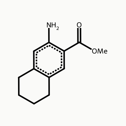 COC(=O)c1cc2c(cc1N)CCCC2